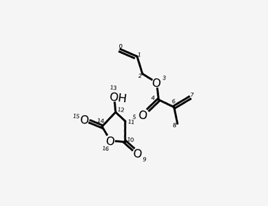 C=CCOC(=O)C(=C)C.O=C1CC(O)C(=O)O1